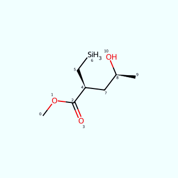 COC(=O)[C@@H](C[SiH3])C[C@H](C)O